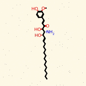 CCCCCCCCCCCCC/C=C/[C@@H](O)[C@@H](N)C(O)C(=O)/C=C/c1ccc(O)c(OC)c1